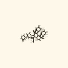 c1ccc(-c2ccc3c(c2)[nH]c2c4ccc5oc6ccccc6c5c4c4c5ccccc5oc4c32)cc1